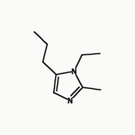 CCCc1cnc(C)n1CC